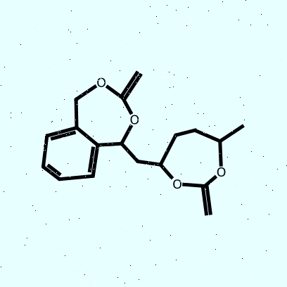 C=C1OC(C)CCC(CC2OC(=C)OCc3ccccc32)O1